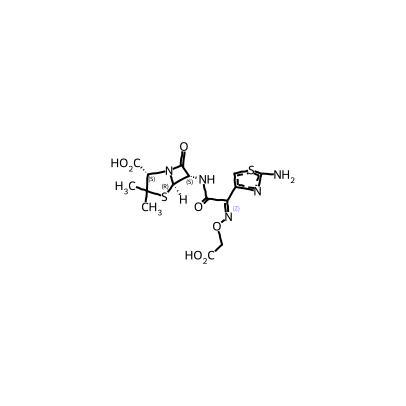 CC1(C)S[C@@H]2[C@@H](NC(=O)/C(=N\OCC(=O)O)c3csc(N)n3)C(=O)N2[C@H]1C(=O)O